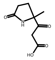 CC1(C(=O)CC(=O)O)CCC(=O)N1